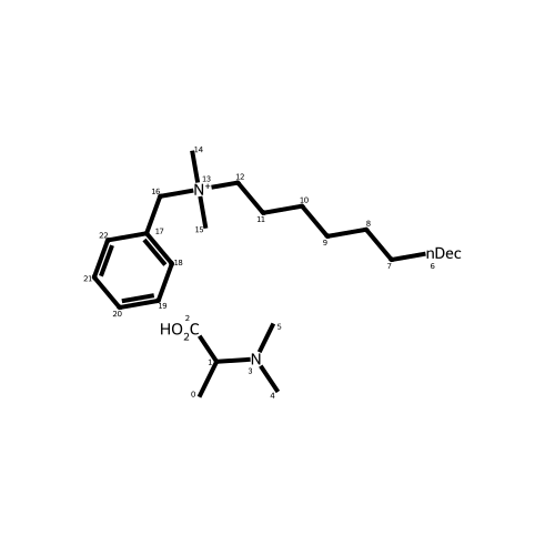 CC(C(=O)O)N(C)C.CCCCCCCCCCCCCCCC[N+](C)(C)Cc1ccccc1